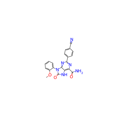 COc1ccccc1-n1c(=O)[nH]c2c(C(N)=O)nc(-c3ccc(C#N)cc3)nc21